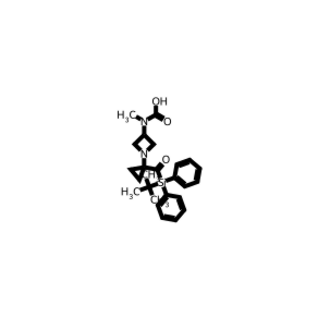 CN(C(=O)O)C1CN(C2(C(=O)[Si](c3ccccc3)(c3ccccc3)C(C)(C)C)CC2)C1